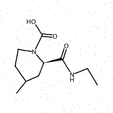 CCNC(=O)[C@H]1CC(C)CCN1C(=O)O